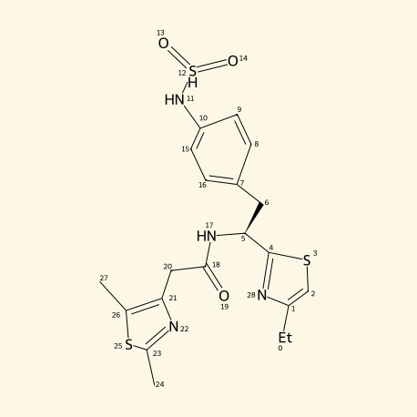 CCc1csc([C@H](Cc2ccc(N[SH](=O)=O)cc2)NC(=O)Cc2nc(C)sc2C)n1